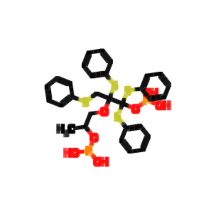 CC(COC(CSc1ccccc1)(Sc1ccccc1)C(OP(O)O)(Sc1ccccc1)Sc1ccccc1)OP(O)O